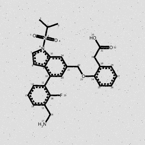 CC(C)S(=O)(=O)n1ccc2c(-c3cccc(CN)c3F)cc(COc3ccccc3CC(=O)O)cc21